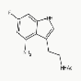 CC(=O)NCCc1c[nH]c2cc(F)cc(N)c12